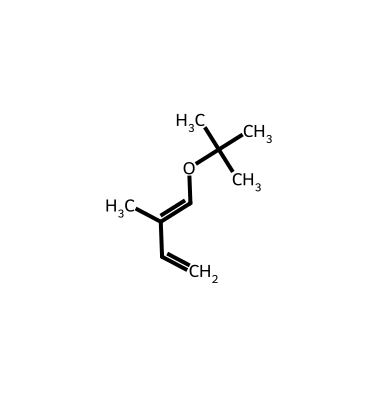 C=CC(C)=COC(C)(C)C